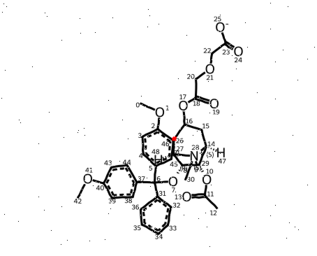 COc1ccc(C(O[C@H]2[C@@H](OC(C)=O)[C@@H]3CC(OC(=O)COCC(=O)[O-])C[C@H]2[N+]3(C)C)(c2ccccc2)c2ccc(OC)cc2)cc1